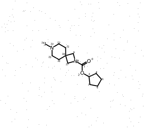 O=C(OC1CCCC1)N1CC2(CCN(I)CC2)C1